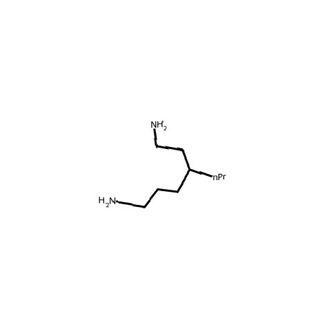 CCCC(CCN)CCCN